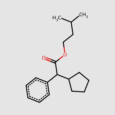 CC(C)CCOC(=O)C(c1ccccc1)C1CCCC1